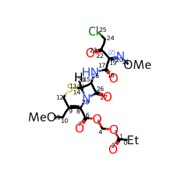 CCC(=O)OCOC(=O)C1=C(COC)CS[C@@H]2C(NC(=O)/C(=N\OC)C(=O)CCl)C(=O)N12